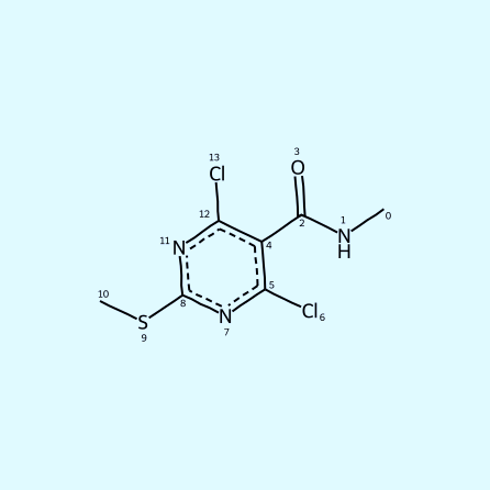 CNC(=O)c1c(Cl)nc(SC)nc1Cl